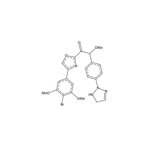 COc1cc(-c2coc(C(=O)C(OC)c3ccc(N4N=CCN4)cc3)n2)cc(OC)c1Br